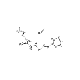 C=CCN[C@H](C)C(=O)NCCCc1ccccc1.Cl